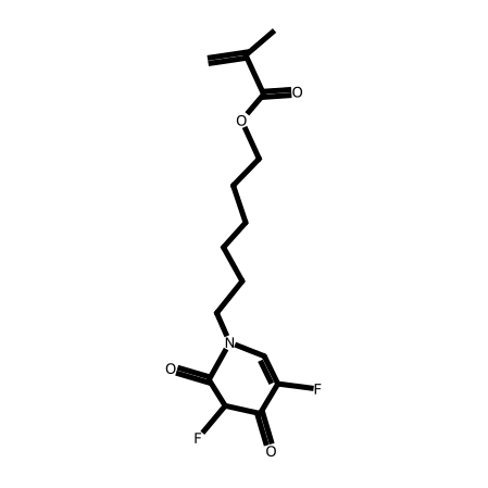 C=C(C)C(=O)OCCCCCCN1C=C(F)C(=O)C(F)C1=O